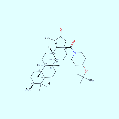 CC(=O)O[C@H]1CC[C@]2(C)[C@H]3CC[C@@H]4C5=C(C(C)C)C(=O)C[C@]5(C(=O)N5CCC(O[Si](C)(C)C(C)(C)C)CC5)CC[C@@]4(C)[C@]3(C)CC[C@H]2C1(C)C